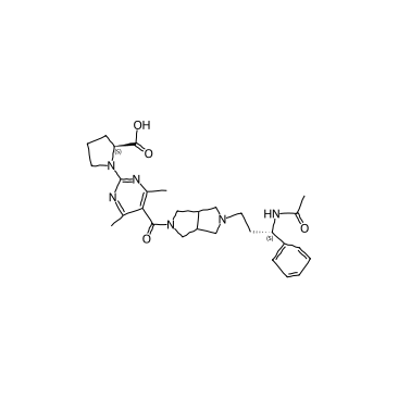 CC(=O)N[C@@H](CCN1CC2CN(C(=O)c3c(C)nc(N4CCC[C@H]4C(=O)O)nc3C)CC2C1)c1ccccc1